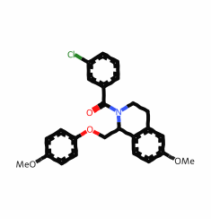 COc1ccc(OCC2c3ccc(OC)cc3CCN2C(=O)c2cccc(Cl)c2)cc1